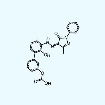 CC1=NN(c2ccccc2)C(=O)C1=NNc1cccc(-c2cccc(OC(=O)O)c2)c1O